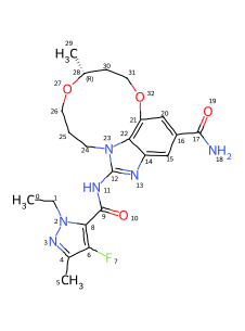 CCn1nc(C)c(F)c1C(=O)Nc1nc2cc(C(N)=O)cc3c2n1CCCO[C@H](C)CCO3